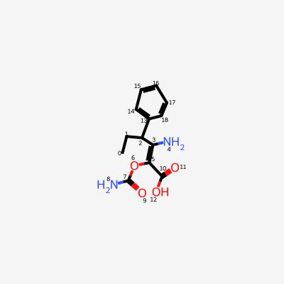 CCC(C(N)=C(OC(N)=O)C(=O)O)c1ccccc1